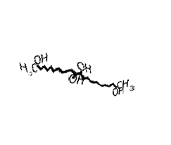 CC(O)CCCCCCCCC(O)C(O)CCCCCCCCC(C)O